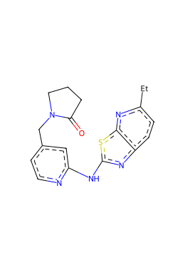 CCc1ccc2nc(Nc3cc(CN4CCCC4=O)ccn3)sc2n1